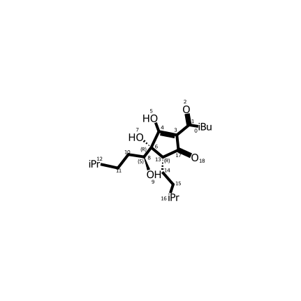 CCC(C)C(=O)C1=C(O)[C@](O)([C@@H](O)CCC(C)C)[C@@H](CCC(C)C)C1=O